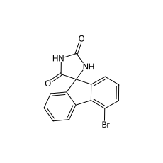 O=C1NC(=O)C2(N1)c1ccccc1-c1c(Br)cccc12